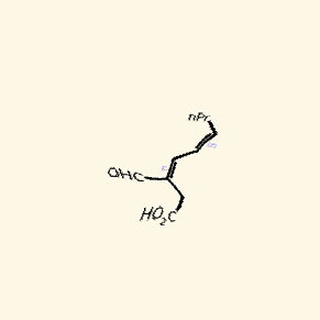 CCC/C=C\C=C(\C=O)CC(=O)O